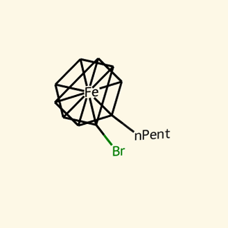 CCCCC[C]12[CH]3[CH]4[CH]5[CH]1[Fe]45321678[CH]2[CH]1[CH]6[C]7(Br)[CH]28